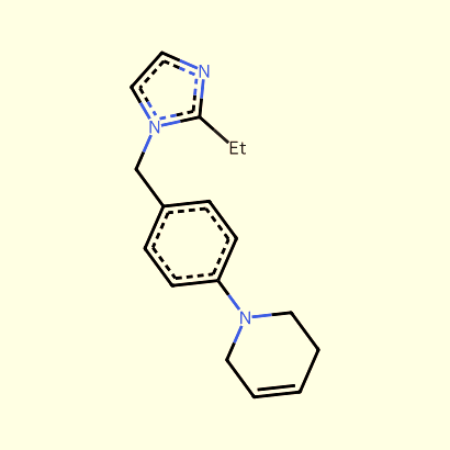 CCc1nccn1Cc1ccc(N2CC=CCC2)cc1